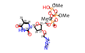 COP(=O)(O)OP(=O)(OC)OP(=O)(OC)OC[C@H]1O[C@@H](n2cc(C)c(=O)[nH]c2=O)C[C@@H]1OCN=[N+]=[N-]